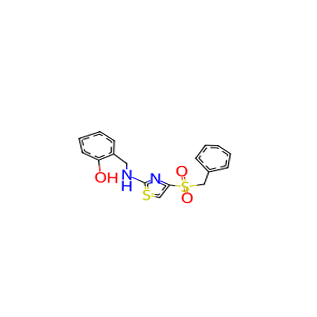 O=S(=O)(Cc1ccccc1)c1csc(NCc2ccccc2O)n1